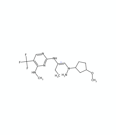 CC/C(=C\N(N)C1CCC(OC)C1)Nc1ncc(C(F)(F)F)c(NC)n1